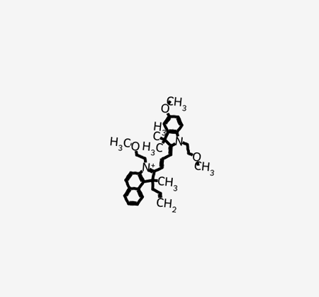 C=CCC1(C)C(/C=C/C=C2/N(CCOC)c3ccc(OC)cc3C2(C)C)=[N+](CCOC)c2ccc3ccccc3c21